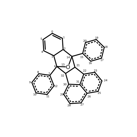 C1=CC2C(C=C1)C1(c3ccccc3)OC2(c2ccccc2)C2c3cccc4cccc(c34)C21